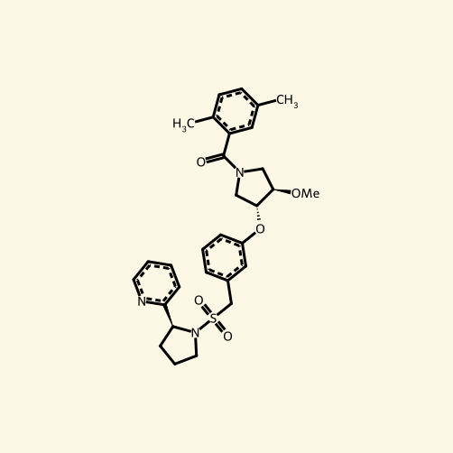 CO[C@@H]1CN(C(=O)c2cc(C)ccc2C)C[C@H]1Oc1cccc(CS(=O)(=O)N2CCC[C@H]2c2ccccn2)c1